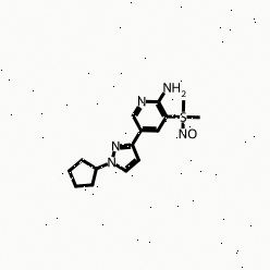 CS(C)(N=O)c1cc(-c2ccn(C3CCCC3)n2)cnc1N